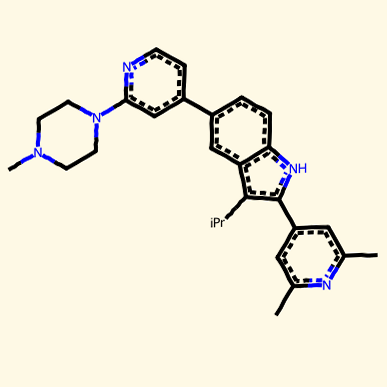 Cc1cc(-c2[nH]c3ccc(-c4ccnc(N5CCN(C)CC5)c4)cc3c2C(C)C)cc(C)n1